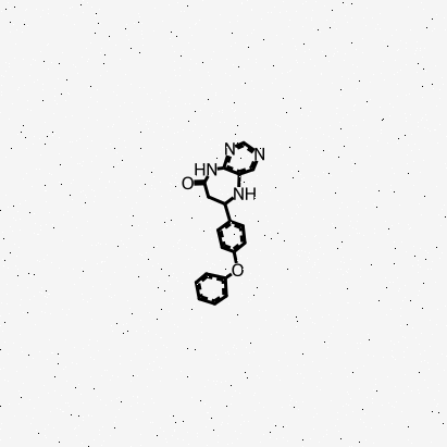 O=C1CC(c2ccc(Oc3ccccc3)cc2)Nc2cncnc2N1